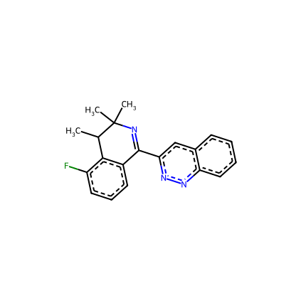 CC1c2c(F)cccc2C(c2cc3ccccc3nn2)=NC1(C)C